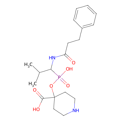 CC(C)C(NC(=O)CCc1ccccc1)P(=O)(O)OC1(C(=O)O)CCNCC1